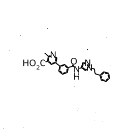 Cc1ncc(-c2cccc(C(=O)Nc3cnn(CCc4ccccc4)c3)c2)cc1C(=O)O